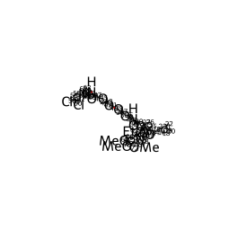 CC[C@H](C(=O)N1CCCC[C@H]1C(=O)O[C@@H](CCc1ccc(C)c(C)c1)c1cccc(OCC(=O)NCCOCCOCCOCCOCCC(=O)NC2=NN(c3ccc(Cl)c(Cl)c3)CC2)c1)c1cc(OC)c(OC)c(OC)c1